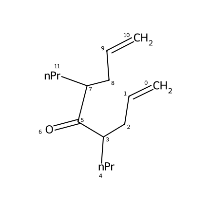 C=CCC(CCC)C(=O)C(CC=C)CCC